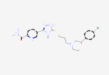 CNC(=O)c1ccc(C2=NNC(SCCCN3CCOC(c4ccc(C(F)(F)F)cc4)C3)N2C)cn1